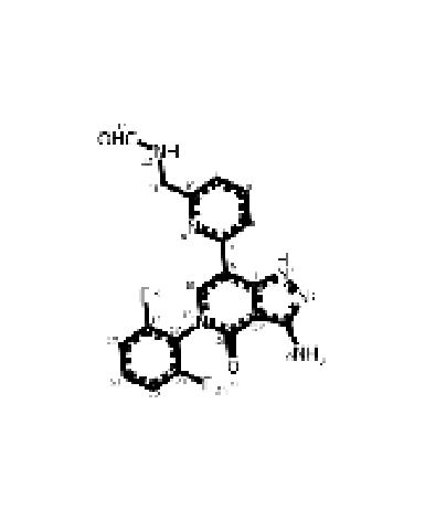 Nc1n[nH]c2c(-c3cccc(CNC=O)n3)cn(-c3c(F)cccc3F)c(=O)c12